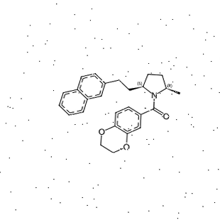 C[C@@H]1CC[C@H](CCc2ccc3ccccc3c2)N1C(=O)c1ccc2c(c1)OCCO2